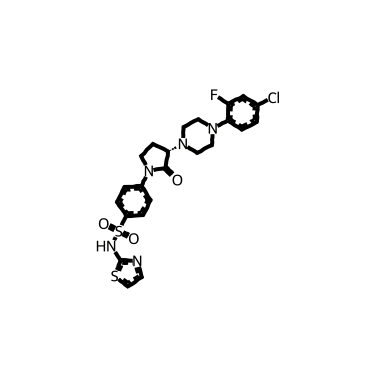 O=C1[C@@H](N2CCN(c3ccc(Cl)cc3F)CC2)CCN1c1ccc(S(=O)(=O)Nc2nccs2)cc1